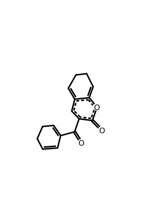 O=C(C1=CCCC=C1)c1cc2c(oc1=O)=CCCC=2